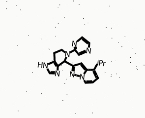 CC(C)c1cccn2nc(C3c4nc[nH]c4CCN3c3cnccn3)cc12